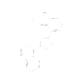 C/C=c1/cccc(-c2nnc(-c3cccc4ccccc34)o2)/c1=C/C